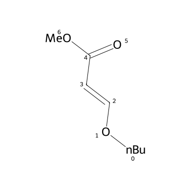 CCCCOC=CC(=O)OC